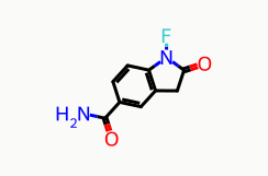 NC(=O)c1ccc2c(c1)CC(=O)N2F